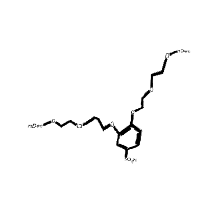 CCCCCCCCCCOCCOCCOc1ccc(S(=O)(=O)O)cc1OCCOCCOCCCCCCCCCC